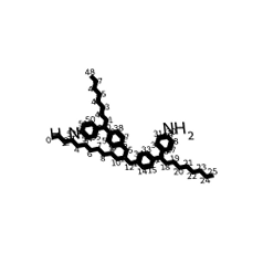 CCCCCCCCCCCC(Cc1ccc(C(CCCCCCCC)c2ccc(N)cc2)cc1)Cc1ccc(C(CCCCCCCC)c2ccc(N)cc2)cc1